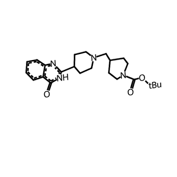 CC(C)(C)OC(=O)N1CCC(CN2CCC(c3nc4ccccc4c(=O)[nH]3)CC2)CC1